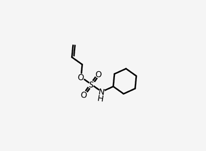 C=CCOS(=O)(=O)NC1CCCCC1